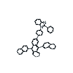 C1=c2c(-c3ccc4ccccc4c3)c3ccc(-c4ccc(-n5c(-c6ccccc6)nc6ccccc65)cc4)cc3c(-c3ccc4ccccc4c3)c2=CCC1